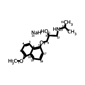 COc1cccc2c(OCC(O)CNC(C)C)cccc12.[NaH]